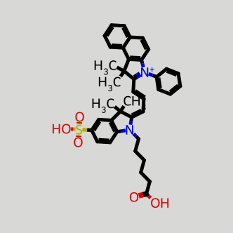 CC1(C)C(/C=C/C=C2/N(CCCCCC(=O)O)c3ccc(S(=O)(=O)O)cc3C2(C)C)=[N+](c2ccccc2)c2ccc3ccccc3c21